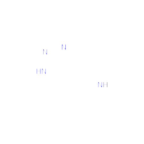 CC1NC=Cc2[nH]nnc21